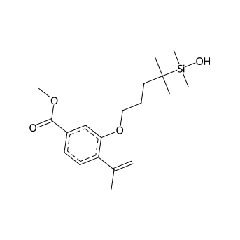 C=C(C)c1ccc(C(=O)OC)cc1OCCCC(C)(C)[Si](C)(C)O